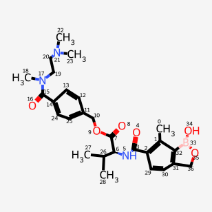 Cc1c(C(=O)N[C@H](C(=O)OCc2ccc(C(=O)N(C)CCN(C)C)cc2)C(C)C)ccc2c1B(O)OC2